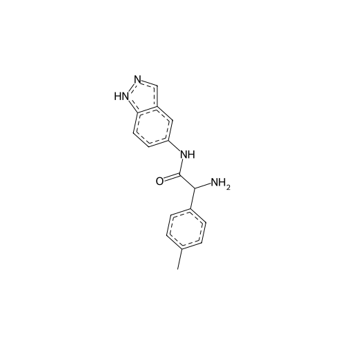 Cc1ccc(C(N)C(=O)Nc2ccc3[nH]ncc3c2)cc1